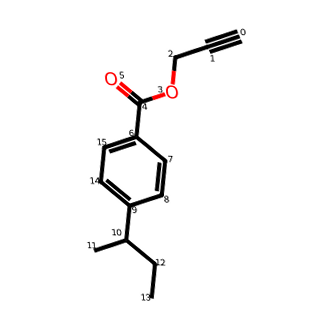 C#CCOC(=O)c1ccc(C(C)CC)cc1